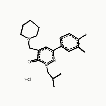 Cc1cc(-c2cc(CN3CCCCC3)c(=O)n(CC(C)C)n2)ccc1F.Cl